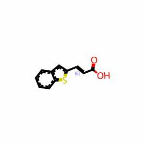 O=C(O)/C=C/c1cc2ccccc2s1